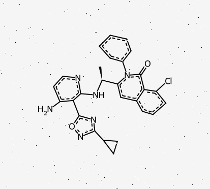 C[C@H](Nc1nccc(N)c1-c1nc(C2CC2)no1)c1cc2cccc(Cl)c2c(=O)n1-c1ccccc1